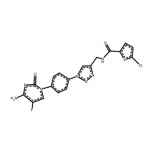 Nc1nc(=O)n(-c2ccc(-n3cc(CNC(=O)c4ccc(Cl)s4)nn3)cc2)cc1F